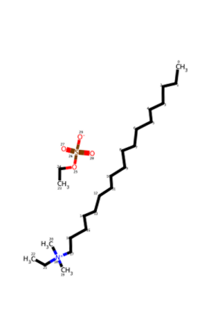 CCCCCCCCCCCCCCCCCC[N+](C)(C)CC.CCOS(=O)(=O)[O-]